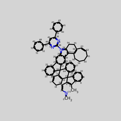 C=N/C=C\C1=C(C)c2ccccc2C12C1=C(C=CCC1)C1(c3ccccc3-c3cc4c(cc31)c1c(n4-c3nc(-c4ccccc4)cc(-c4ccccc4)n3)CCC3=C1CCCC/C=C\3)c1ccccc12